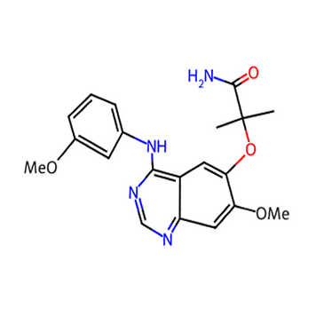 COc1cccc(Nc2ncnc3cc(OC)c(OC(C)(C)C(N)=O)cc23)c1